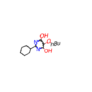 CCCCOc1c(O)nc(C2CCCCC2)nc1O